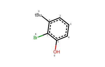 CC(C)(C)c1cccc(O)c1Br